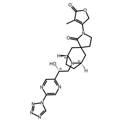 CC1=C(N2CCC3(C[C@H]4CC[C@H](C3)N4C[C@@H](O)c3cnc(-n4cnnn4)cn3)C2=O)COC1=O